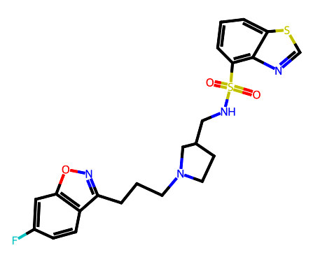 O=S(=O)(NCC1CCN(CCCc2noc3cc(F)ccc23)C1)c1cccc2scnc12